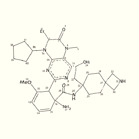 CCC1C(=O)N(C)c2cnc(C3C(OC)=CC=CC3(N)C(=O)NC3(CCO)CCC4(CC3)CNC4)nc2N1C1CCCC1